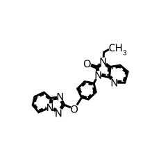 CCn1c(=O)n(-c2ccc(Oc3nc4ccccn4n3)cc2)c2ncccc21